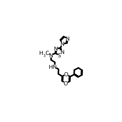 CN(CCNCCC1=COC=C(C2=CC=CCC2)O1)c1nc(-n2ccnc2)ns1